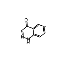 O=c1cn[nH]c2cc[c]cc12